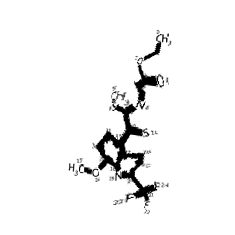 CCOC(=O)C/N=C(\SC)C(=S)c1ccc(OC)c2nc(C(F)(F)F)ccc12